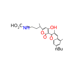 CCCCc1ccc(C=C(C)C(=O)c2c(O)cc(C(C)CC/C=C/NC(=O)O)oc2=O)c(C)c1